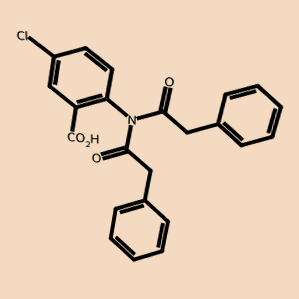 O=C(O)c1cc(Cl)ccc1N(C(=O)Cc1ccccc1)C(=O)Cc1ccccc1